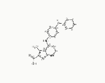 Cc1c(C(=O)O)sc2ncnc(Nc3ccc(Oc4ccccc4)cc3)c12